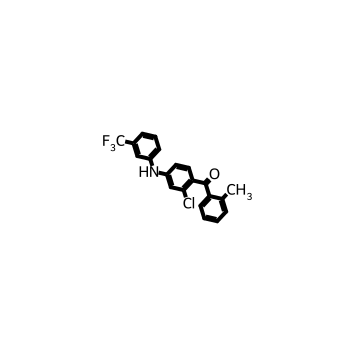 Cc1ccccc1C(=O)c1ccc(Nc2cccc(C(F)(F)F)c2)cc1Cl